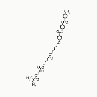 C=C(C)C(=O)OCCNC(=O)OCCCCCC(=O)OCCCCCCOc1ccc(C(=O)Oc2ccc(OC(=O)c3ccc(C)cc3)cc2)cc1